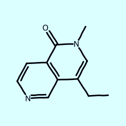 CCc1cn(C)c(=O)c2ccncc12